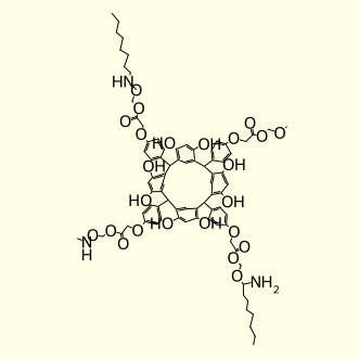 CCCCCCCCNOCOC(=O)COc1ccc(C2c3cc(c(O)cc3O)C(c3ccc(OCC(=O)OCOC)cc3)c3cc(c(O)cc3O)C(c3ccc(OCC(=O)OCOC(N)CCCCCCC)cc3)c3cc(c(O)cc3O)C(c3ccc(OCC(=O)OCONC)cc3)c3cc2c(O)cc3O)cc1